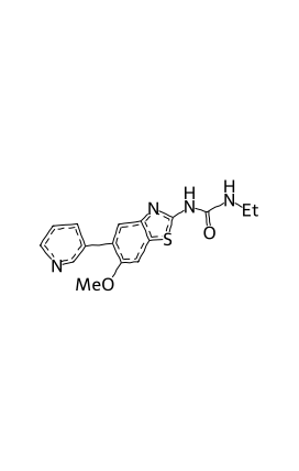 CCNC(=O)Nc1nc2cc(-c3cccnc3)c(OC)cc2s1